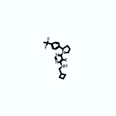 CC(F)(F)c1ccc(C2CCCN2c2ncnc(NCC3CCC3)c2F)cc1